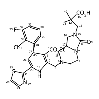 CCOC(=O)C1=C(CN2CCN3C(=O)N(CC(C)(C)C(=O)O)CC3C2)NC(c2nccs2)=C[C@H]1c1cccc(F)c1Cl